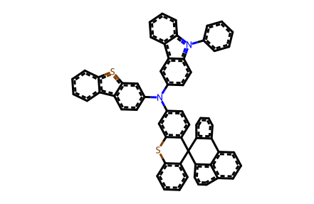 c1ccc(-n2c3ccccc3c3cc(N(c4ccc5c(c4)Sc4ccccc4C54c5ccccc5-c5cccc6cccc4c56)c4ccc5c(c4)sc4ccccc45)ccc32)cc1